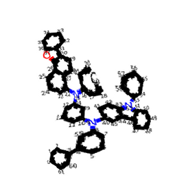 c1ccc(-c2cccc(N(c3cccc(N(c4ccccc4)c4cccc5c4ccc4c6ccccc6oc54)c3)c3ccc4c(c3)c3ccccc3n4-c3ccccc3)c2)cc1